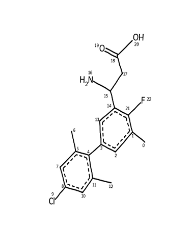 Cc1cc(-c2c(C)cc(Cl)cc2C)cc(C(N)CC(=O)O)c1F